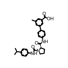 Cc1cc(C(=O)O)cc(-c2ccc(NC(=O)[C@H]3CCCN3C(=O)Nc3ccc(C(C)C)cc3)cc2)c1